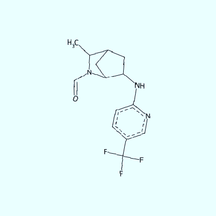 CC1C2CC(Nc3ccc(C(F)(F)F)cn3)C(C2)N1C=O